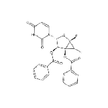 O=C(O[C@H]1[C@H](n2ccc(=O)[nH]c2=O)O[C@]2(F)C(I)[C@]12OC(=O)c1ccccc1)c1ccccc1